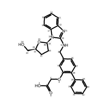 O=C(O)COc1cc(CNc2nc3ccccc3n2[C@H]2CC[C@@H](CO)O2)ccc1-c1ccccc1